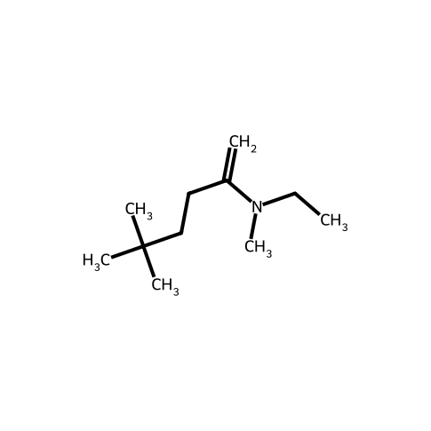 C=C(CCC(C)(C)C)N(C)CC